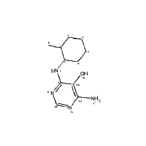 CC1CCCCC1Nc1ncnc(N)c1O